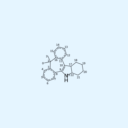 CC1(C)c2ccccc2C2=C(c3ccccc31)C1CCCCC1N2